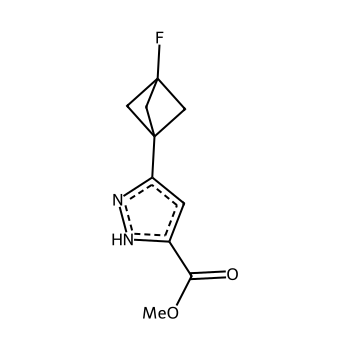 COC(=O)c1cc(C23CC(F)(C2)C3)n[nH]1